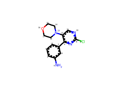 Nc1cccc(-c2nc(Cl)ncc2N2CCOCC2)c1